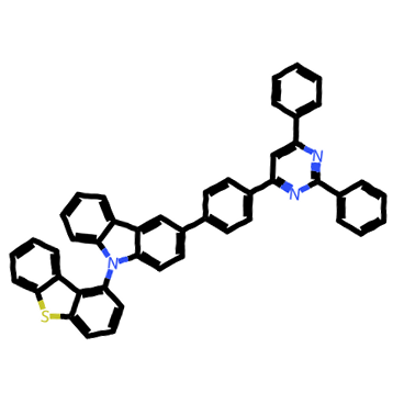 c1ccc(-c2cc(-c3ccc(-c4ccc5c(c4)c4ccccc4n5-c4cccc5sc6ccccc6c45)cc3)nc(-c3ccccc3)n2)cc1